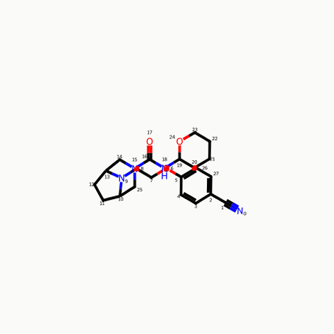 N#Cc1ccc(OCCN2C3CCC2CN(C(=O)NC2CCCCO2)C3)cc1